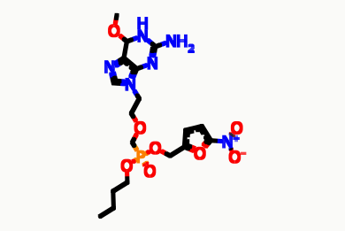 CCCCOP(=O)(COCCn1cnc2c1N=C(N)NC2OC)OCc1ccc([N+](=O)[O-])o1